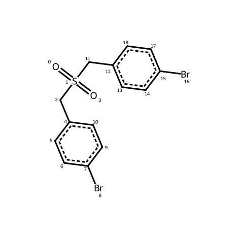 O=S(=O)(Cc1ccc(Br)cc1)Cc1ccc(Br)cc1